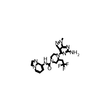 Cn1ncc2c(N3CCN(C(=O)Nc4cccn5ccnc45)CC3CC(F)(F)F)nc(N)nc21